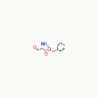 N[C@@H](C=O)C(=O)OCc1ccccc1